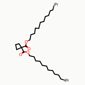 CC(C)CCCCCCCCCCCOC(=O)C1(C(=O)OCCCCCCCCCCCC(C)C)CCC1